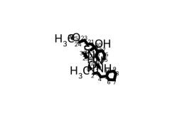 CNCC(CC1CCCCC1)NC(=O)N1CCCC(C(O)(CCCCOC)c2nccs2)C1